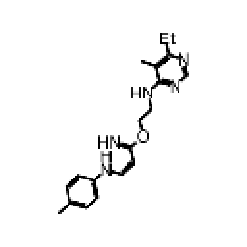 CCc1ncnc(NCCOC(=N)/C=C\Nc2ccc(C)cc2)c1C